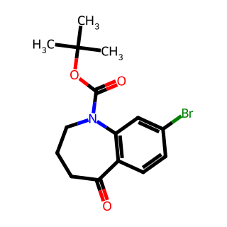 CC(C)(C)OC(=O)N1CCCC(=O)c2ccc(Br)cc21